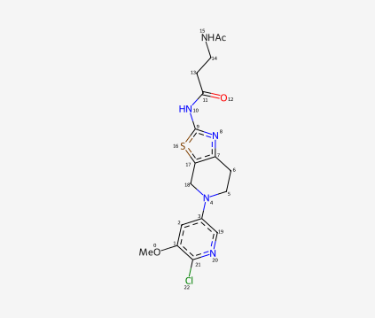 COc1cc(N2CCc3nc(NC(=O)CCNC(C)=O)sc3C2)cnc1Cl